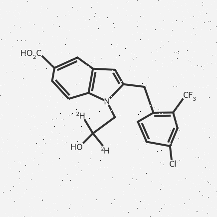 [2H]C([2H])(O)Cn1c(Cc2ccc(Cl)cc2C(F)(F)F)cc2cc(C(=O)O)ccc21